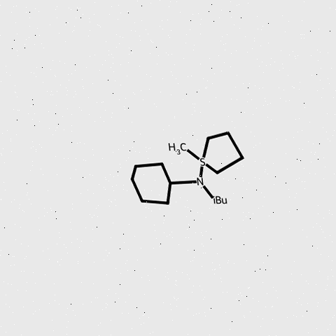 CCC(C)N(C1CCCCC1)S1(C)CCCC1